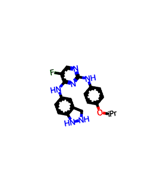 CC(C)Oc1ccc(Nc2ncc(F)c(Nc3ccc4c(c3)CNN4)n2)cc1